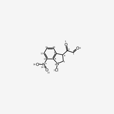 O=CC(=O)C1CN(Cl)c2c1cccc2[N+](=O)[O-]